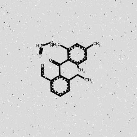 CCc1cccc(C=O)c1C(=O)c1c(C)cc(C)cc1C.O=[PH2]O